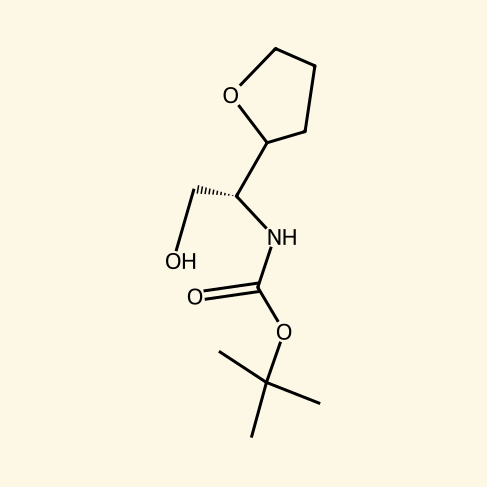 CC(C)(C)OC(=O)N[C@H](CO)C1CCCO1